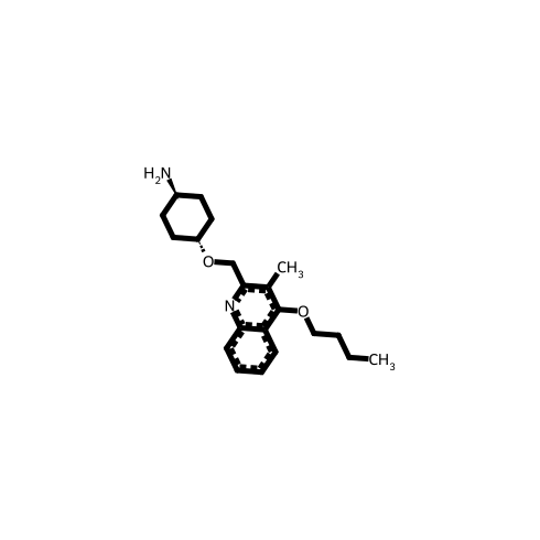 CCCCOc1c(C)c(CO[C@H]2CC[C@H](N)CC2)nc2ccccc12